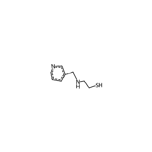 SCCNCc1cccnc1